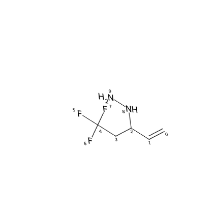 C=CC(CC(F)(F)F)NN